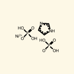 O=P([O-])(O)O.O=P([O-])(O)O.[Ni+2].c1c[nH]cn1